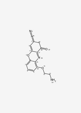 [N-]=[N+]=C1C=C2Oc3cccc(OCCN)c3N=C2C(=O)C1